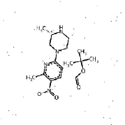 CC(C)(C)OC=O.Cc1nc(N2CCN[C@@H](C)C2)ccc1[N+](=O)[O-]